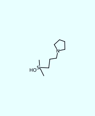 C[Si](C)(O)CCCN1CCCC1